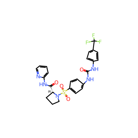 O=C(Nc1ccc(C(F)(F)F)cc1)Nc1ccc(S(=O)(=O)N2CCC[C@@H]2C(=O)Nc2ccccn2)cc1